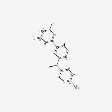 Cc1nc(-c2cc([C@H](C)c3ccc(C(F)(F)F)cc3)ncn2)cc(=O)[nH]1